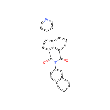 O=C1c2cccc3c(-c4ccncc4)ccc(c23)C(=O)N1c1ccc2ccccc2c1